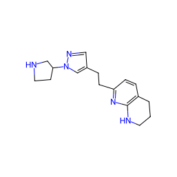 c1nn(C2CCNC2)cc1CCc1ccc2c(n1)NCCC2